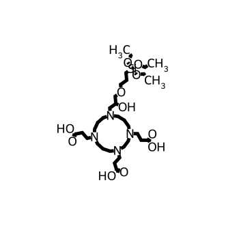 CCO[Si](CCCOCC(O)CN1CCCN(CCC(=O)O)CCCN(CCC(=O)O)CCN(CCC(=O)O)CCC1)(OCC)OCC